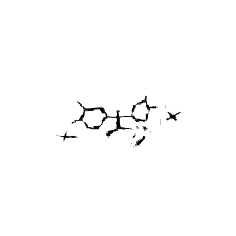 CC(n1ncnn1)C(F)(c1ccc(OC(F)(F)F)c(F)c1)c1ccc(OC(F)(F)F)c(F)c1